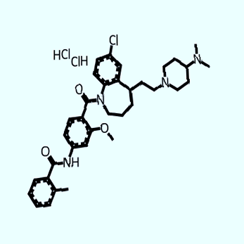 COc1cc(NC(=O)c2ccccc2C)ccc1C(=O)N1CCCC(CCN2CCC(N(C)C)CC2)c2cc(Cl)ccc21.Cl.Cl